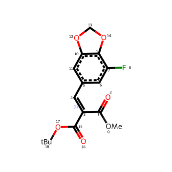 COC(=O)/C(=C\c1cc(F)c2c(c1)OCO2)C(=O)OC(C)(C)C